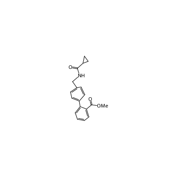 COC(=O)c1ccccc1-c1ccc(CNC(=O)C2CC2)cc1